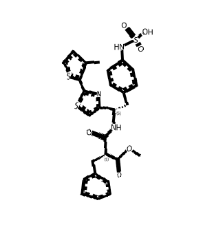 COC(=O)[C@@H](Cc1ccccc1)C(=O)N[C@@H](Cc1ccc(NS(=O)(=O)O)cc1)c1csc(-c2sccc2C)n1